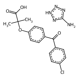 CC(C)(Oc1ccc(C(=O)c2ccc(Cl)cc2)cc1)C(=O)O.Nc1nn[nH]n1